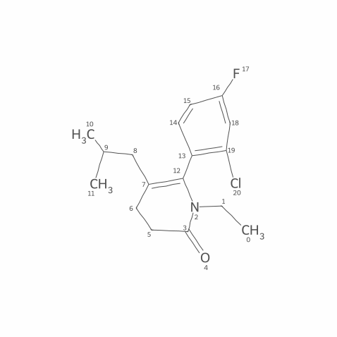 CCN1C(=O)CCC(CC(C)C)=C1c1ccc(F)cc1Cl